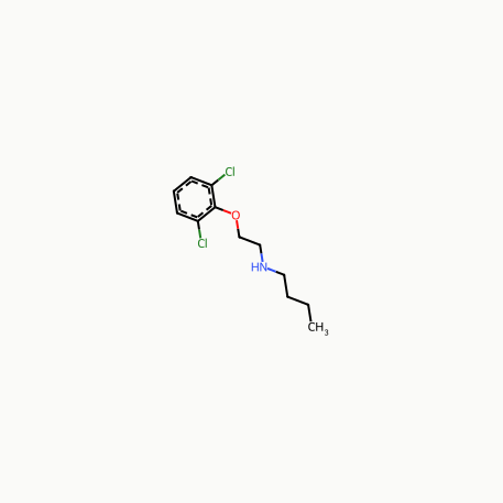 CCCCNCCOc1c(Cl)cccc1Cl